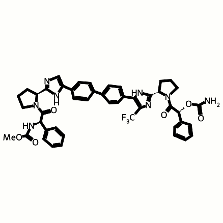 COC(=O)N[C@@H](C(=O)N1CCC[C@H]1c1ncc(-c2ccc(-c3ccc(-c4[nH]c([C@@H]5CCCN5C(=O)[C@H](OC(N)=O)c5ccccc5)nc4C(F)(F)F)cc3)cc2)[nH]1)c1ccccc1